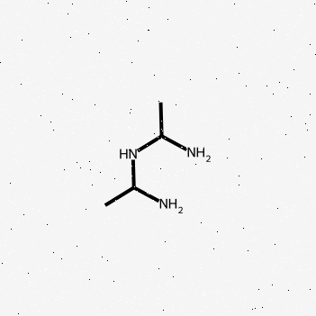 CC(N)NC(C)N